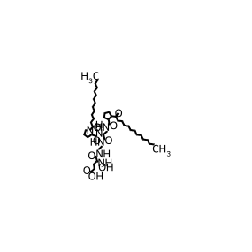 CCCCCCCCCCCCCC(=O)C1CCCC1C(=O)NCC(NC(=O)C1CCCN1C(=O)CCCCCCCCCCCCC)C(=O)NCCNC(=O)C(CCC(=O)O)NO